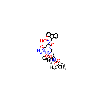 CC(C)(C)OC(=O)NCCC[C@@H](CNC(=O)[C@H](CCC(N)=O)N(CC1c2ccccc2-c2ccccc21)C(=O)O)NC(=O)OC(C)(C)C